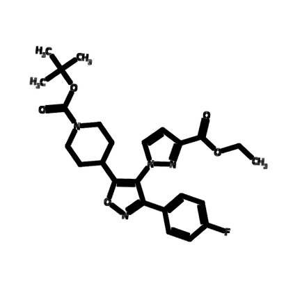 CCOC(=O)c1ccn(-c2c(-c3ccc(F)cc3)noc2C2CCN(C(=O)OC(C)(C)C)CC2)n1